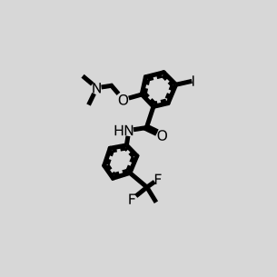 CN(C)COc1ccc(I)cc1C(=O)Nc1cccc(C(C)(F)F)c1